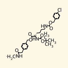 [CH2]NC(=O)Cc1ccc(COC(=O)[C@H](CCCCNC(=O)OCc2ccc(Cl)cc2)NC(=O)OC(C)(C)C)cc1